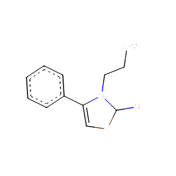 COCCN1C(c2ccccc2)=CSC1N